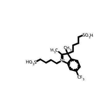 CC1=[N+](CCCCS(=O)(=O)O)c2cc(C(F)(F)F)ccc2C1(C)CCCCS(=O)(=O)O